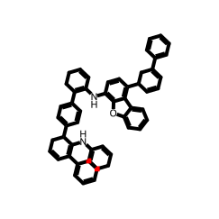 C1=CCCC(C2=C(NC3=CCCC=C3)C(c3ccc(C4=C(Nc5ccc(C6C=CC=C(c7ccccc7)C6)c6c5oc5ccccc56)C=CCC4)cc3)CC=C2)=C1